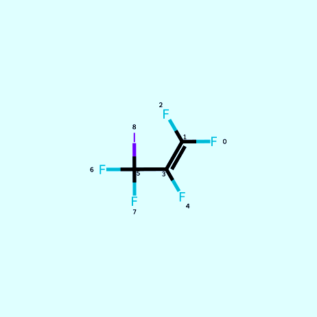 FC(F)=C(F)C(F)(F)I